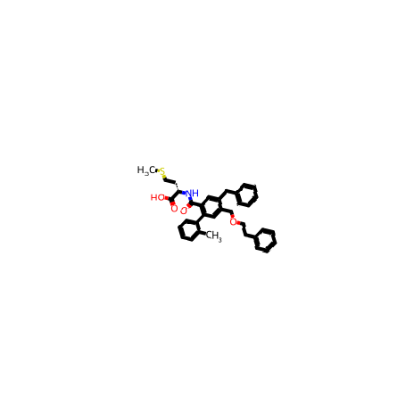 CSCC[C@H](NC(=O)c1cc(Cc2ccccc2)c(COCCc2ccccc2)cc1-c1ccccc1C)C(=O)O